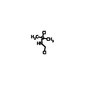 C[Si](C)(Cl)NCCl